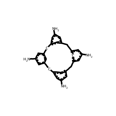 Nc1cc2cc(c1)Cc1cc(N)cc(c1)Cc1cc(N)cc(c1)Cc1cc(N)cc(c1)C2